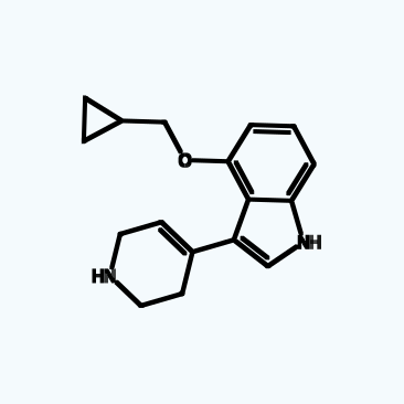 C1=C(c2c[nH]c3cccc(OCC4CC4)c23)CCNC1